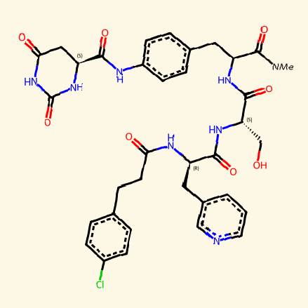 CNC(=O)C(Cc1ccc(NC(=O)[C@@H]2CC(=O)NC(=O)N2)cc1)NC(=O)[C@H](CO)NC(=O)[C@@H](Cc1cccnc1)NC(=O)CCc1ccc(Cl)cc1